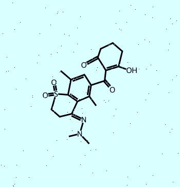 Cc1cc(C(=O)C2=C(O)CCCC2=O)c(C)c2c1S(=O)(=O)CC/C2=N\N(C)C